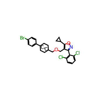 Clc1cccc(Cl)c1-c1noc(C2CC2)c1COCC12CCC(c3ccc(Br)cc3)(CC1)CC2